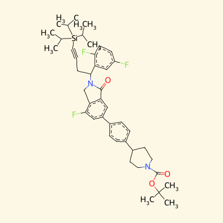 CC(C)[Si](C#CCC(c1cc(F)ccc1F)N1Cc2c(F)cc(-c3ccc(C4CCN(C(=O)OC(C)(C)C)CC4)cc3)cc2C1=O)(C(C)C)C(C)C